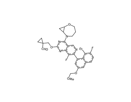 CCc1c(F)ccc2cc(OCOC)cc(-c3ncc4c(N5CCCOC6CC65)nc(OCC5(C=O)CC5)nc4c3F)c12